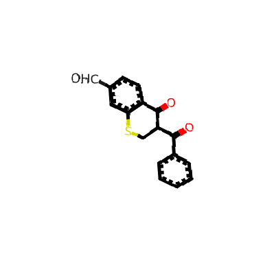 O=Cc1ccc2c(c1)SCC(C(=O)c1ccccc1)C2=O